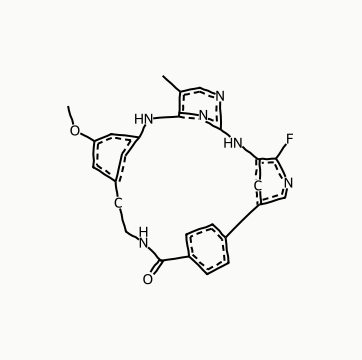 COc1cc2cc(c1)Nc1nc(ncc1C)Nc1cc(cnc1F)-c1ccc(cc1)C(=O)NCC2